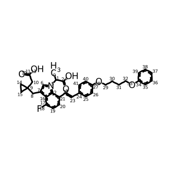 CC(C(=O)O)n1cc(CC2(CC(=O)O)CC2)c2c(F)ccc(C=Cc3ccc(OCCCCOc4ccccc4)cc3)c21